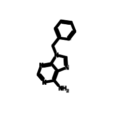 Nc1ncnc2c1ncn2Cc1[c]cccc1